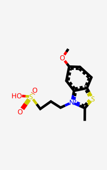 COc1ccc2sc(C)[n+](CCCS(=O)(=O)O)c2c1